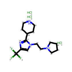 Cl.Cl.Cl.FC(F)(F)c1cn(CCN2CCCC2)c(C2CCNCC2)n1